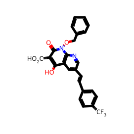 O=C(O)c1c(O)c2cc(C=Cc3ccc(C(F)(F)F)cc3)cnc2n(OCc2ccccc2)c1=O